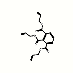 C=CCOC(=O)c1cccc(C(=O)OCC=C)c1C(=O)OCC=C